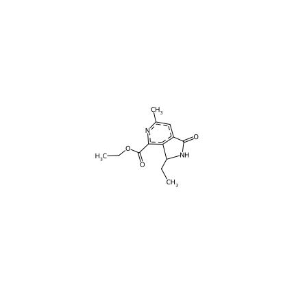 CCOC(=O)c1nc(C)cc2c1C(CC)NC2=O